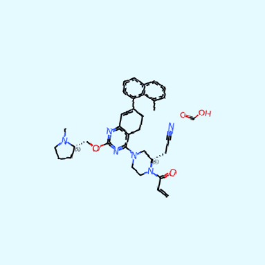 C=CC(=O)N1CCN(c2nc(OC[C@@H]3CCCN3C)nc3c2CCC(c2cccc4cccc(C)c24)=C3)C[C@@H]1CC#N.O=CO